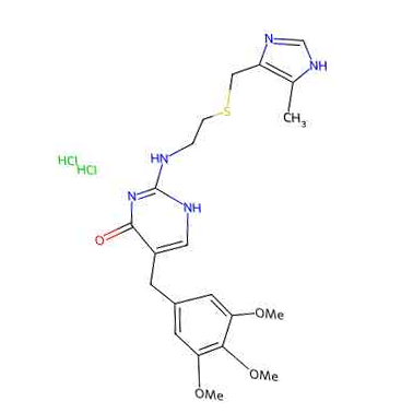 COc1cc(Cc2c[nH]c(NCCSCc3nc[nH]c3C)nc2=O)cc(OC)c1OC.Cl.Cl